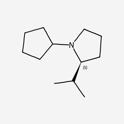 CC(C)[C@@H]1CCCN1C1CCCC1